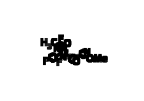 COc1cc([C@@H]2C[C@H](c3cn4c(=O)c(F)c(C)nc4c(-c4ccc(F)cc4F)n3)CCO2)ccn1